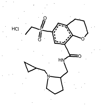 CCS(=O)(=O)c1cc2c(c(C(=O)NCC3CCCN3CC3CC3)c1)OCCC2.Cl